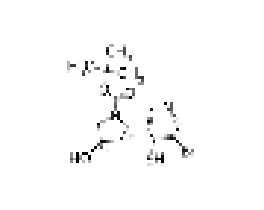 CC(C)(C)OC(=O)N1C[C@H](O)C[C@H]1c1cncc(Br)c1S